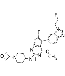 COc1nc(NC2CCN(C3COC3)CC2)nn2cc(F)c(-c3ccc4ncn(CCF)c4c3)c12